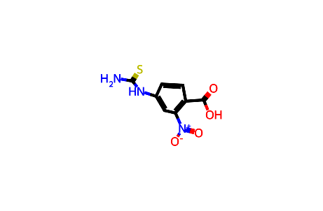 NC(=S)Nc1ccc(C(=O)O)c([N+](=O)[O-])c1